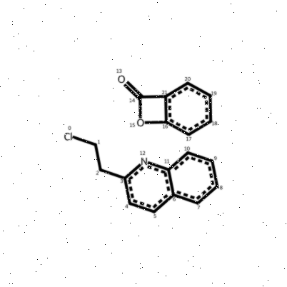 ClCCc1ccc2ccccc2n1.O=C1Oc2ccccc21